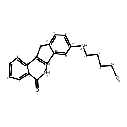 O=c1[nH]c2c(c3ccccc13)Cc1ccc(NCCCCCl)cc1-2